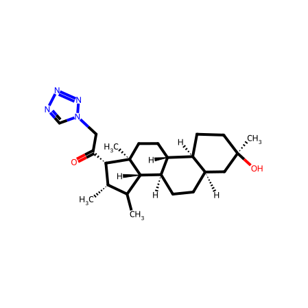 CC1[C@H](C)[C@H](C(=O)Cn2cnnn2)[C@@]2(C)CC[C@H]3[C@@H](CC[C@@H]4C[C@](C)(O)CC[C@@H]43)[C@H]12